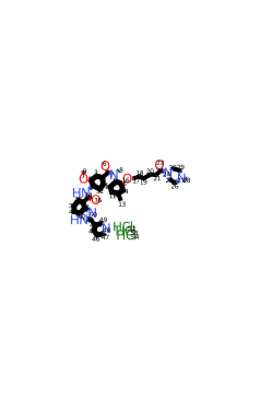 COc1cc(C(=O)N(C)c2ccc(C)cc2OCCCCCC(=O)N2CCN(C)CC2)ccc1NC(=O)c1cccc2[nH]c(-c3cccnc3)nc12.Cl.Cl.Cl